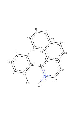 Cc1ccccc1-c1c2c(ccc3ccccc32)cc[n+]1C